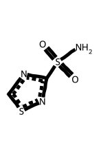 NS(=O)(=O)c1ncsn1